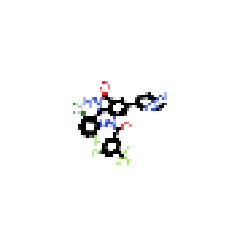 O=C(Nc1cc(-c2ccc3nccn3c2)cc2c1C(c1cc(F)ccc1Cl)NC2=O)c1cc(F)cc(C(F)(F)F)c1